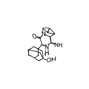 N=C1NC(C23CC4CC(CC(O)(C4)C2)C3)C(=O)N2C1C1C3C1C32